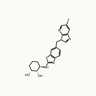 O[C@@H]1[C@H](O)CCC[C@H]1Nc1nc2ccc(Cn3cnc4cc(F)cnc43)cc2s1